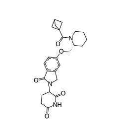 O=C1CCC(N2Cc3cc(OC[C@H]4CCCCN4C(=O)C45CC(C4)C5)ccc3C2=O)C(=O)N1